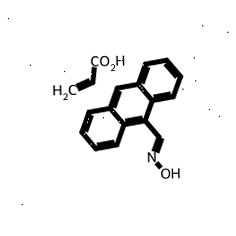 C=CC(=O)O.ON=Cc1c2ccccc2cc2ccccc12